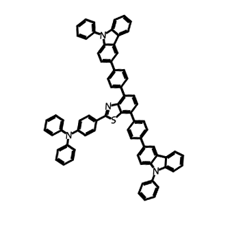 c1ccc(N(c2ccccc2)c2ccc(-c3nc4c(-c5ccc(-c6ccc7c(c6)c6ccccc6n7-c6ccccc6)cc5)ccc(-c5ccc(-c6ccc7c(c6)c6ccccc6n7-c6ccccc6)cc5)c4s3)cc2)cc1